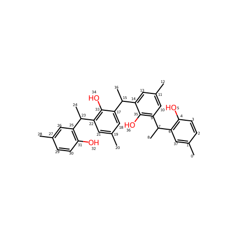 Cc1ccc(O)c(C(C)c2cc(C)cc(C(C)c3cc(C)cc(C(C)c4cc(C)ccc4O)c3O)c2O)c1